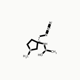 CB(O)N[C@]1(CN=[N+]=[N-])CCN(C)C1